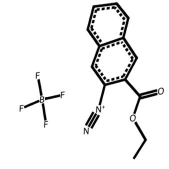 CCOC(=O)c1cc2ccccc2cc1[N+]#N.F[B-](F)(F)F